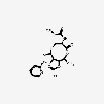 CC(C)C(=O)OC1C(C)OC(=O)C(NC(=O)OC(C)(C)C)COC(=O)C1CSc1ccccn1